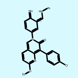 CCOc1ccc2cn(C3=C/C(=C/NC(C)C)C(=N)C=C3)c(=O)c(-c3ccc(Cl)cc3)c2n1